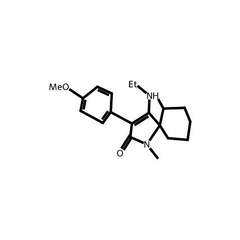 CCNC1=C(c2ccc(OC)cc2)C(=O)N(C)C12CCCCC2C